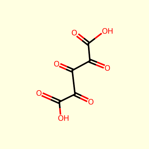 O=C(O)C(=O)C(=O)C(=O)C(=O)O